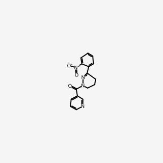 O=C(c1cccnc1)N1CCCC(c2ccccc2[N+](=O)[O-])=N1